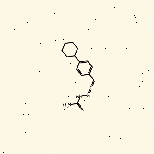 NC(=S)NN=C=Cc1ccc(C2CCCCC2)cc1